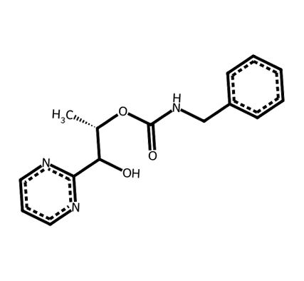 C[C@H](OC(=O)NCc1ccccc1)C(O)c1ncccn1